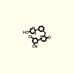 N#Cc1cc(Cl)cc(-n2ccc(=O)c(Cc3cccc(-c4ncc(O)cn4)c3)n2)c1